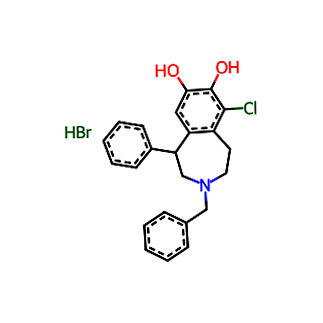 Br.Oc1cc2c(c(Cl)c1O)CCN(Cc1ccccc1)CC2c1ccccc1